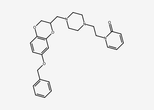 O=c1ccccn1CCN1CCN(CC2COc3ccc(OCc4ccccc4)cc3O2)CC1